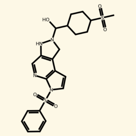 CS(=O)(=O)C1CCC(C(O)N2Cc3c(cnc4c3ccn4S(=O)(=O)c3ccccc3)N2)CC1